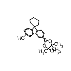 CC1(C)OB(c2ccc(C3(c4ccc(O)cc4)CCCCC3)cc2)OC1(C)C